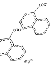 O=C([O-])c1cccc2ccccc12.O=C([O-])c1cccc2ccccc12.[Mg+2]